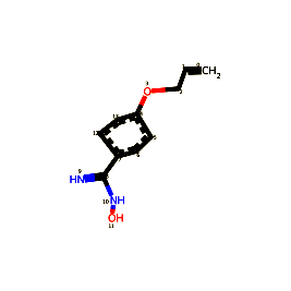 C=CCOc1ccc(C(=N)NO)cc1